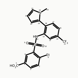 CCc1ccc(C(=O)O)cc1S(=O)(=O)Nc1cc(C(F)(F)F)ccc1-c1cccn1C